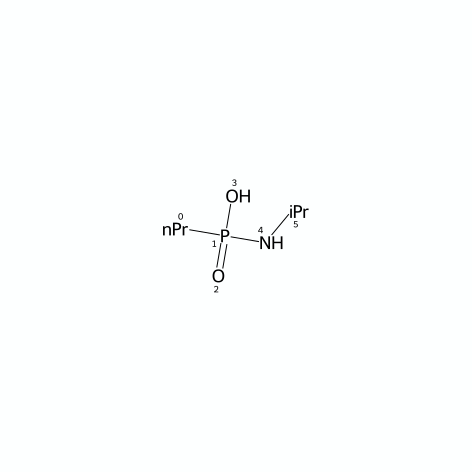 CCCP(=O)(O)NC(C)C